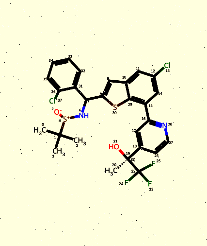 CC(C)(C)[S+]([O-])NC(c1cc2cc(Cl)cc(-c3cc([C@](C)(O)C(F)(F)F)ccn3)c2s1)c1ccccc1Cl